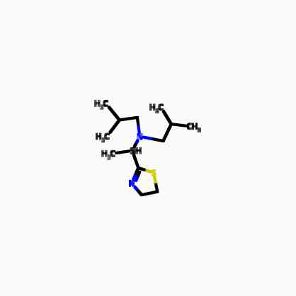 CC(C)CN(CC(C)C)[SiH](C)C1=NCCS1